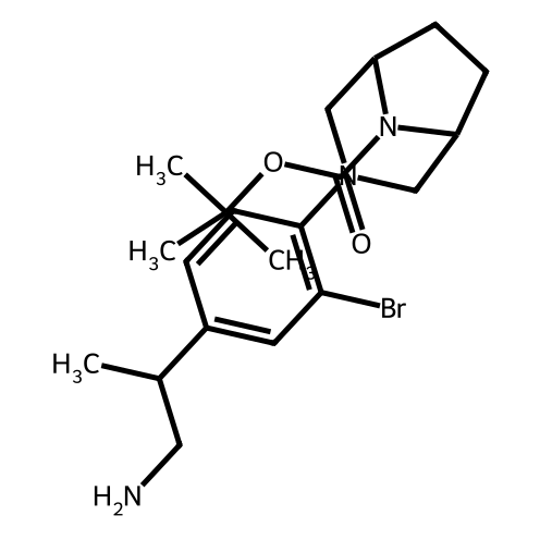 CC(CN)c1ccc(N2CC3CCC(C2)N3C(=O)OC(C)(C)C)c(Br)c1